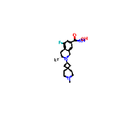 CC[C@@H]1Cc2c(F)cc(C(=O)NO)cc2CN1C1CC2(CCN(C)CC2)C1